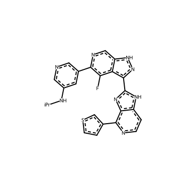 CC(C)Nc1cncc(-c2ncc3[nH]nc(-c4nc5c(-c6ccsc6)nccc5[nH]4)c3c2F)c1